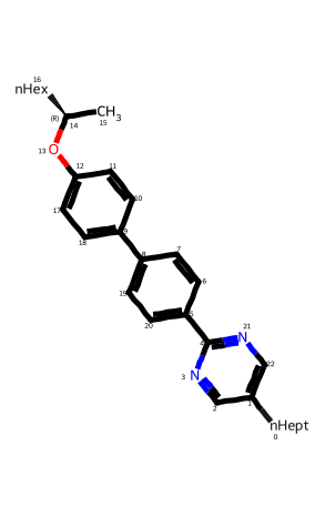 CCCCCCCc1cnc(-c2ccc(-c3ccc(O[C@H](C)CCCCCC)cc3)cc2)nc1